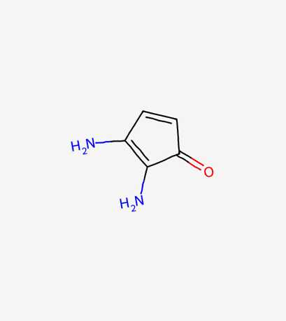 NC1=C(N)C(=O)C=C1